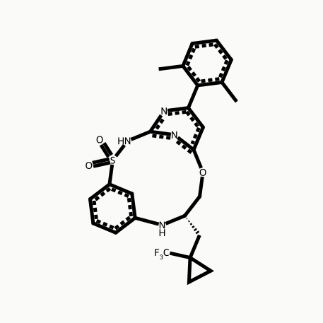 Cc1cccc(C)c1-c1cc2nc(n1)NS(=O)(=O)c1cccc(c1)N[C@@H](CC1(C(F)(F)F)CC1)CO2